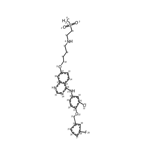 CS(=O)(=O)CCNCCCCOc1ccc2c(Nc3ccc(OCc4cccc(F)c4)c(Cl)c3)ncnc2c1